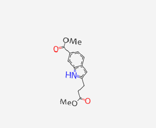 COC(=O)CCc1cc2ccc(C(=O)OC)cc2[nH]1